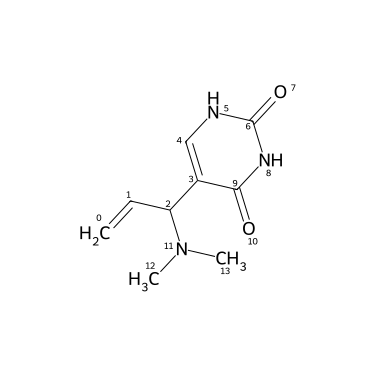 C=CC(c1c[nH]c(=O)[nH]c1=O)N(C)C